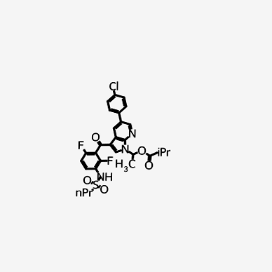 CCCS(=O)(=O)Nc1ccc(F)c(C(=O)c2cn(C(C)OC(=O)C(C)C)c3ncc(-c4ccc(Cl)cc4)cc23)c1F